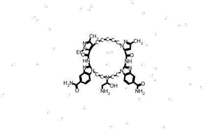 CCn1nc(C)c2c1C(=O)Nc1nc3cc(C(N)=O)ccc3n1CCN(C(O)CN)CCn1c(nc3cc(C(N)=O)ccc31)NC(=O)c1cc(C)nn1CCCCC2